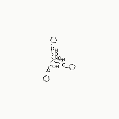 O=[N+]([O-])C(CC(O)COCc1ccccc1)(CC(O)COCc1ccccc1)CC(O)COCc1ccccc1